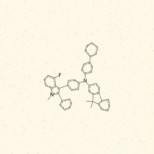 Cn1c(-c2ccccc2)c(-c2ccc(N(c3ccc(-c4ccccc4)cc3)c3ccc4c(c3)C(C)(C)c3ccccc3-4)cc2)c2c(F)cccc21